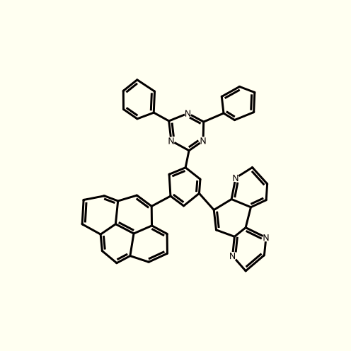 c1ccc(-c2nc(-c3ccccc3)nc(-c3cc(-c4cc5cccc6ccc7cccc4c7c65)cc(-c4cc5nccnc5c5cccnc45)c3)n2)cc1